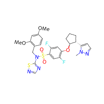 COc1ccc(CN(c2ncns2)S(=O)(=O)c2cc(F)c(O[C@H]3CCC[C@@H]3c3ccnn3C)cc2F)c(OC)c1